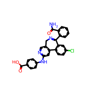 NC(=O)c1ccccc1C1=NCc2cnc(Nc3ccc(C(=O)O)cc3)cc2-c2ccc(Cl)cc21